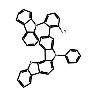 N#Cc1cccc(-n2c3ccccc3c3ccccc32)c1-c1ccc2c3c4sc5ccccc5c4ccc3n(-c3ccccc3)c2c1